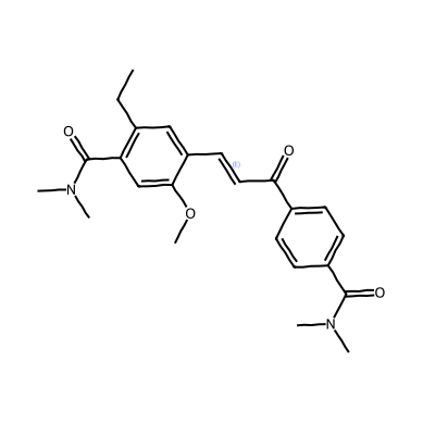 CCc1cc(/C=C/C(=O)c2ccc(C(=O)N(C)C)cc2)c(OC)cc1C(=O)N(C)C